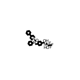 O=C(NNC(=O)C(F)(F)F)c1ccc(CN(C(=O)N2CC=C(c3ccccc3)CC2)c2ccccc2)cc1